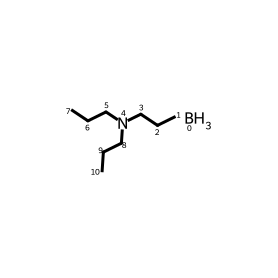 B.CCCN(CCC)CCC